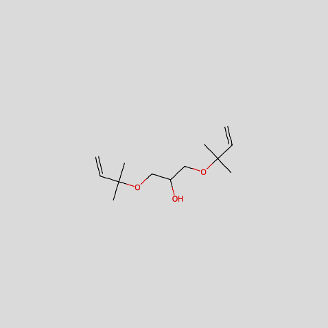 C=CC(C)(C)OCC(O)COC(C)(C)C=C